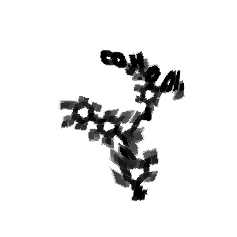 Cc1cc(SCC=C(c2ccc(Br)cc2)c2ccc(-c3ccccc3)cc2)ccc1OCC(=O)O